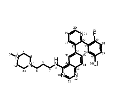 CN1CCN(CCCNc2ncnc3ccc(-c4cccnc4-c4cc(Cl)ccc4F)cc23)CC1